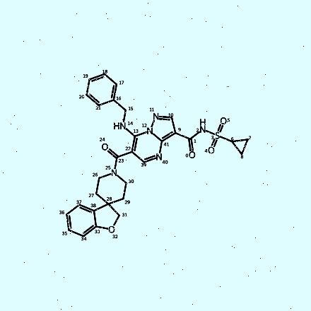 O=C(NS(=O)(=O)C1CC1)c1cnn2c(NCc3ccccc3)c(C(=O)N3CCC4(CC3)COc3ccccc34)cnc12